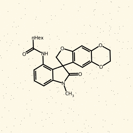 CCCCCCC(=O)Nc1cccc2c1C1(COc3cc4c(cc31)OCCO4)C(=O)N2C